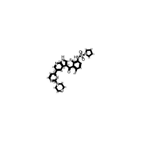 O=C(c1c(F)ccc(NS(=O)(=O)N2CCCC2)c1F)c1c[nH]c2ncc(-c3ccnc(N4CCOCC4)n3)cc12